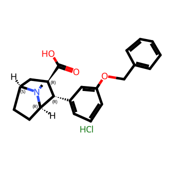 CN1[C@H]2CC[C@@H]1[C@@H](c1cccc(OCc3ccccc3)c1)[C@H](C(=O)O)C2.Cl